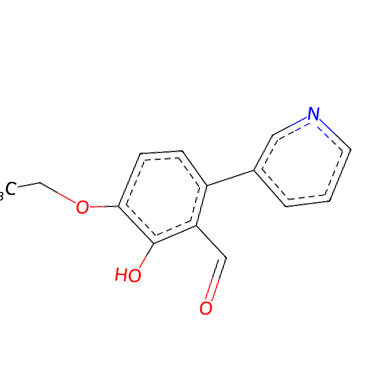 CCOc1ccc(-c2cccnc2)c(C=O)c1O